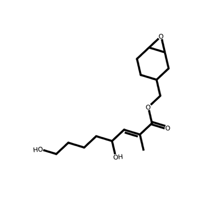 CC(=CC(O)CCCCO)C(=O)OCC1CCC2OC2C1